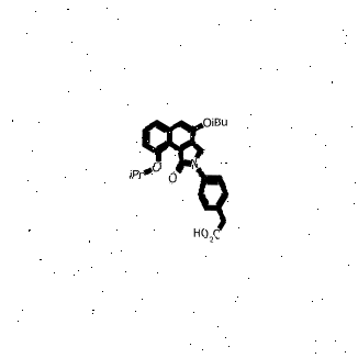 CC(C)COc1cc2cccc(OC(C)C)c2c2c1CN(c1ccc(CC(=O)O)cc1)C2=O